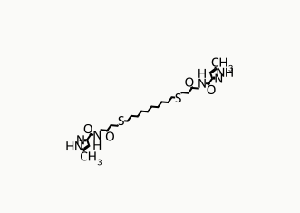 Cc1cc(C(=O)NCC(=O)CCSCCCCCCCCCCSCCC(=O)CNC(=O)c2cc(C)[nH]n2)n[nH]1